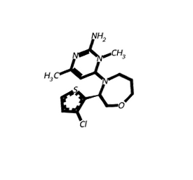 CC1=CC(N2CCCOC[C@H]2c2sccc2Cl)N(C)C(N)=N1